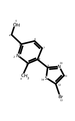 Cc1nc(CO)ccc1-c1ncc(Br)s1